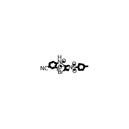 Cc1ccc(S(=O)(=O)n2cc(Br)c(S(=O)(=O)Nc3ccc(C#N)cc3F)c2)cc1